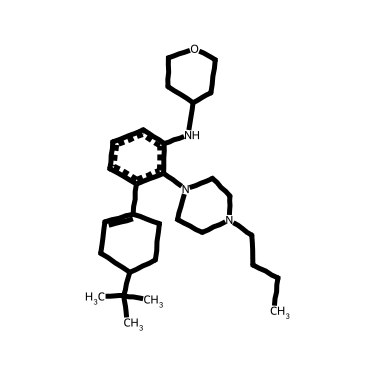 CCCCN1CCN(c2c(NC3CCOCC3)cccc2C2=CCC(C(C)(C)C)CC2)CC1